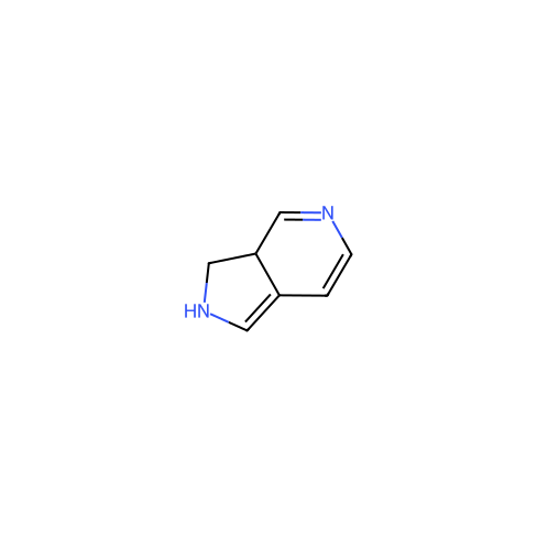 C1=CC2=CNCC2C=N1